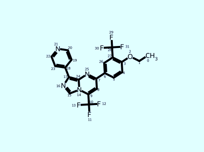 CCOc1ccc(-c2cc(C(F)(F)F)n3cnc(-c4ccncc4)c3n2)cc1C(F)(F)F